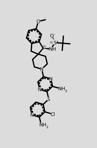 COc1ccc2c(c1)[C@@H](N[S@+]([O-])C(C)(C)C)C1(CCN(c3cnc(Sc4ccnc(N)c4Cl)c(N)n3)CC1)C2